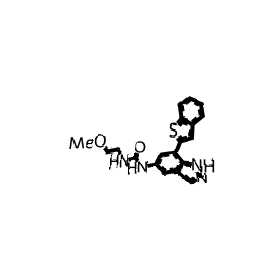 COCCNC(=O)Nc1cc(-c2cc3ccccc3s2)c2[nH]ncc2c1